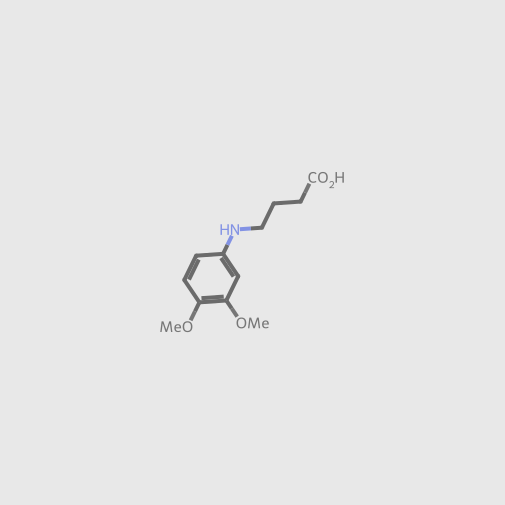 COc1ccc(NCCCC(=O)O)cc1OC